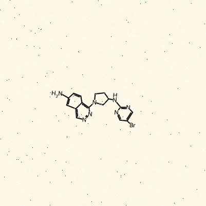 Nc1ccc2c(N3CCC(Nc4ncc(Br)cn4)C3)nncc2c1